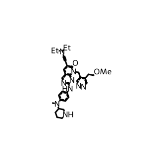 CCN(C#Cc1cc2cnc(Nc3ccc(N(C)C4CCCNC4)cc3)nc2n(Cc2cnncc2CCOC)c1=O)CC